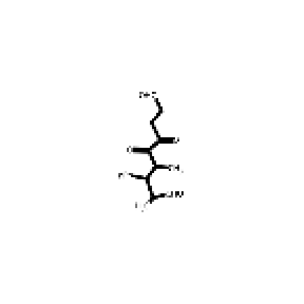 CCCC(C(C)[C]=O)C(C)C(=O)C(=O)CCC=O